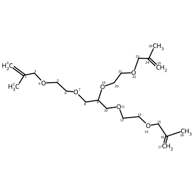 C=C(C)COCCOCC(COCCOCC(=C)C)OCCOCC(=C)C